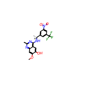 COc1cc2nc(C)nc(N[C@H](C)c3cc([N+](=O)[O-])cc(C(F)(F)F)c3)c2cc1O